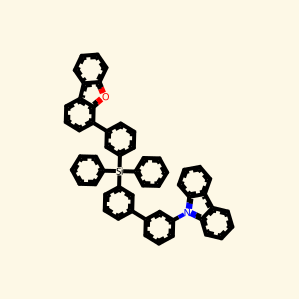 c1ccc([Si](c2ccccc2)(c2cccc(-c3cccc(-n4c5ccccc5c5ccccc54)c3)c2)c2cccc(-c3cccc4c3oc3ccccc34)c2)cc1